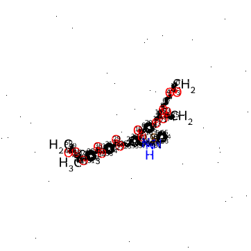 C=CC(=O)OCCCCOCC(COc1ccc(C(=O)Oc2ccc(CCOC(=O)c3ccc(OC(=O)c4ccc(OC(C)(C)COC(=O)C=C)cc4)cc3)cc2/C=N/Nc2nc3ccccc3s2)cc1)OC(=O)C=C